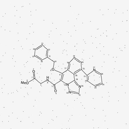 COC(=O)CNC(=O)c1c(OCc2ccccc2)c2cccc(-c3ccccn3)c2c2ncnn12